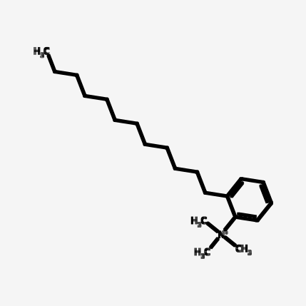 CCCCCCCCCCCCc1ccccc1[N+](C)(C)C